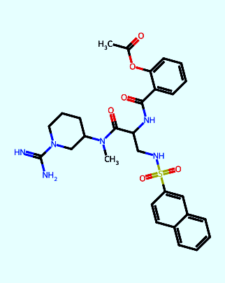 CC(=O)Oc1ccccc1C(=O)NC(CNS(=O)(=O)c1ccc2ccccc2c1)C(=O)N(C)C1CCCN(C(=N)N)C1